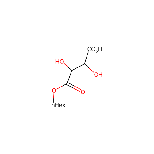 CCCCCCOC(=O)C(O)C(O)C(=O)O